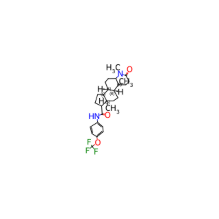 CN1C(=O)CC[C@@]2(C)C1CC[C@@H]1[C@H]2CC[C@]2(C)C(C(=O)Nc3ccc(OC(F)(F)F)cc3)CC[C@@H]12